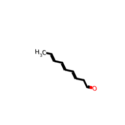 CC=CC=CC=CCC=O